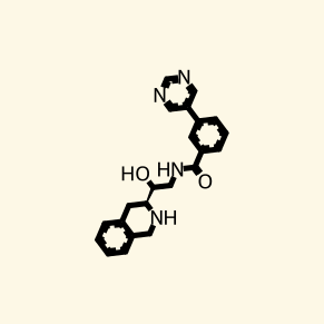 O=C(NCC(O)[C@@H]1Cc2ccccc2CN1)c1cccc(-c2cncnc2)c1